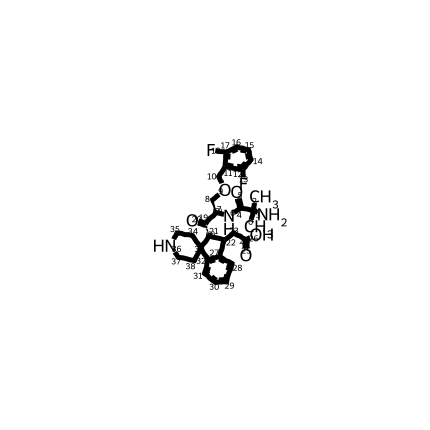 CC(C)(N)C(=O)N[C@H](COCc1c(F)cccc1F)C(=O)[C@@H]1C(CC(=O)O)c2ccccc2C12CCNCC2